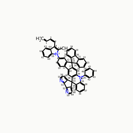 C=C/C=C\c1c(C)n(-c2ccc3c(c2)C2(c4ccccc4-c4ccccc42)c2cc4c(cc2-3)C2(c3ccccc3N4c3ccccc3)c3cccnc3-c3ncccc32)c2ccccc12